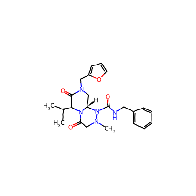 CC(C)[C@H]1C(=O)N(Cc2ccco2)C[C@H]2N1C(=O)CN(C)N2C(=O)NCc1ccccc1